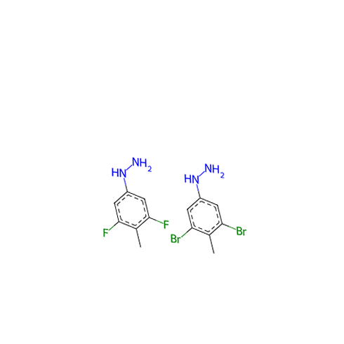 Cc1c(Br)cc(NN)cc1Br.Cc1c(F)cc(NN)cc1F